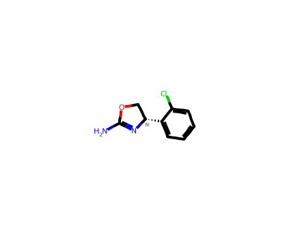 NC1=N[C@@H](c2ccccc2Cl)CO1